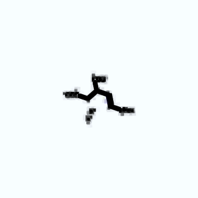 CCCCCC/C=C/C(CC(=O)[O-])C(=O)[O-].[K+].[K+]